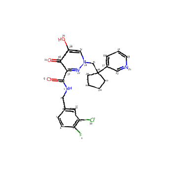 O=C(NCc1ccc(F)c(Cl)c1)c1nn(CC2(c3cccnc3)CCCC2)cc(O)c1=O